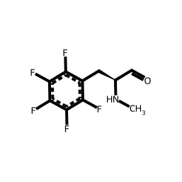 CN[C@H](C=O)Cc1c(F)c(F)c(F)c(F)c1F